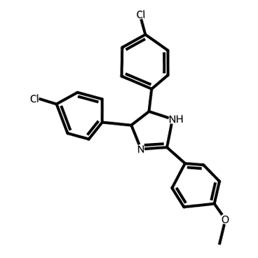 COc1ccc(C2=NC(c3ccc(Cl)cc3)C(c3ccc(Cl)cc3)N2)cc1